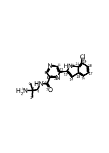 CC(C)(N)CNC(=O)c1cncc(-c2cc3cccc(Cl)c3[nH]2)n1